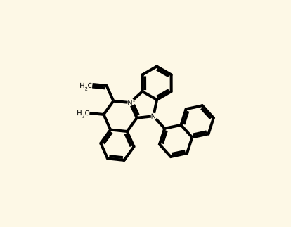 C=CC1C(C)c2ccccc2-c2n(-c3cccc4ccccc34)c3ccccc3[n+]21